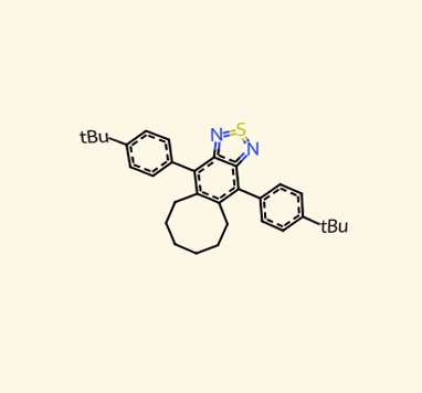 CC(C)(C)c1ccc(-c2c3c(c(-c4ccc(C(C)(C)C)cc4)c4nsnc24)CCCCCC3)cc1